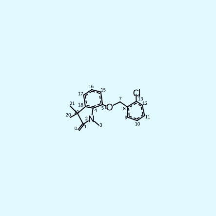 C=C1N(C)c2c(OCc3ccccc3Cl)cccc2C1(C)C